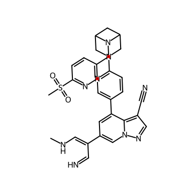 CN/C=C(\C=N)c1cc(-c2ccc(N3CC4CC(C3)N4Cc3ccc(S(C)(=O)=O)nc3)nc2)c2c(C#N)cnn2c1